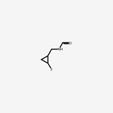 O=[C]NCC1CC1F